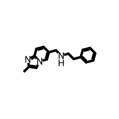 Cc1cn2cc(CNCCc3ccccc3)ccc2n1